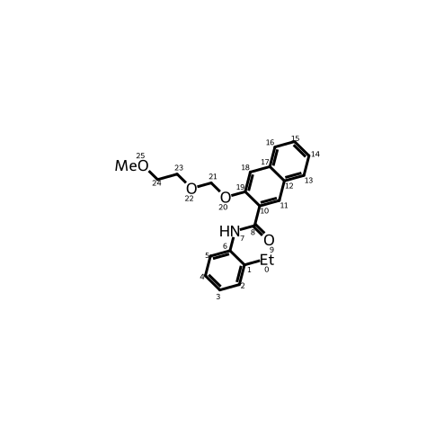 CCc1ccccc1NC(=O)c1cc2ccccc2cc1OCOCCOC